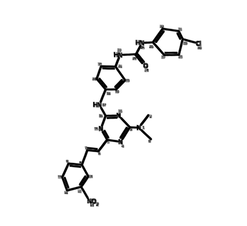 CN(C)c1nc(C=Cc2cccc([N+](=O)[O-])c2)nc(Nc2ccc(NC(=O)Nc3ccc(Cl)cc3)cc2)n1